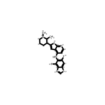 CC1C(c2cc3c(Nc4c(F)cc5scnc5c4F)ccnc3s2)CCCN1C